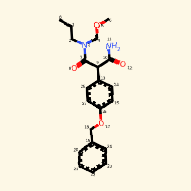 CCCN(COC)C(=O)C(C(N)=O)c1ccc(OCc2ccccc2)cc1